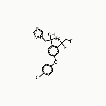 CC(C)C(O)(Cn1cncn1)c1ccc(Oc2ccc(Cl)cc2)cc1C(F)(F)CF